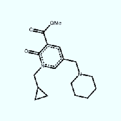 COC(=O)c1cc(CN2CCCCC2)cn(CC2CC2)c1=O